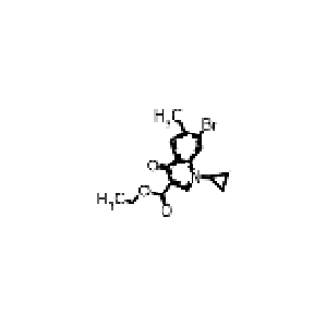 CCOC(=O)c1cn(C2CC2)c2cc(Br)c(C)cc2c1=O